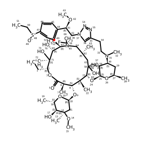 CC[C@H]1OC(=O)[C@H](C)[C@@H](O[C@H]2C[C@@](C)(OC)[C@@H](O)[C@H](C)O2)[C@H](C)[C@@H](O[C@@H]2O[C@H](C)C[C@H](N(C)CCc3cn([C@H](CF)[C@H](OC)c4ccc([S+]([O-])CC)cc4)nn3)[C@H]2O)[C@](C)(O)C[C@@H](C)CN(C)[C@H](C)[C@@H](O)[C@]1(C)O